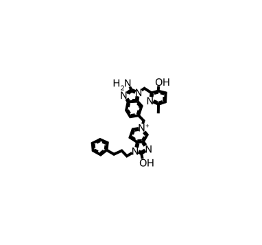 Cc1ccc(O)c(Cn2c(N)nc3ccc(C[n+]4ccc5c(c4)nc(O)n5CCCc4ccccc4)cc32)n1